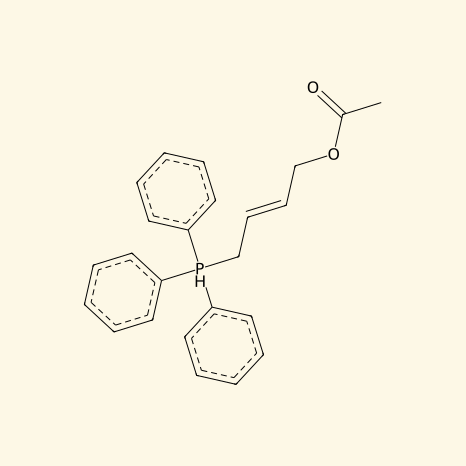 CC(=O)OCC=CC[PH](c1ccccc1)(c1ccccc1)c1ccccc1